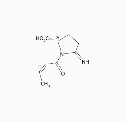 C/C=C\C(=O)N1C(=N)CC[C@H]1C(=O)O